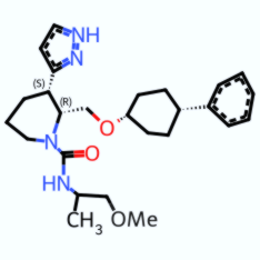 COCC(C)NC(=O)N1CCC[C@H](c2cc[nH]n2)[C@@H]1CO[C@H]1CC[C@@H](c2ccccc2)CC1